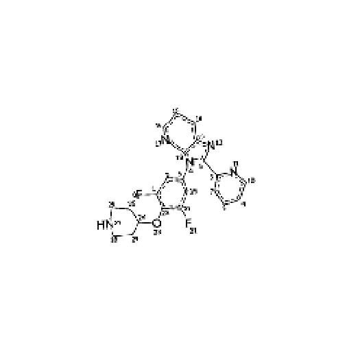 Fc1cc(-n2c(-c3ccccn3)nc3cccnc32)cc(F)c1OC1CCNCC1